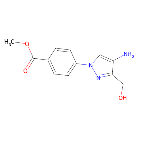 COC(=O)c1ccc(-n2cc(N)c(CO)n2)cc1